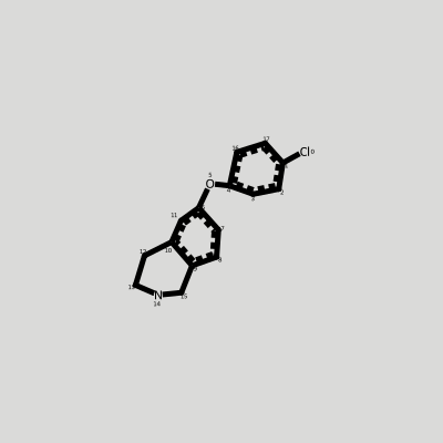 Clc1ccc(Oc2ccc3c(c2)CC[N]C3)cc1